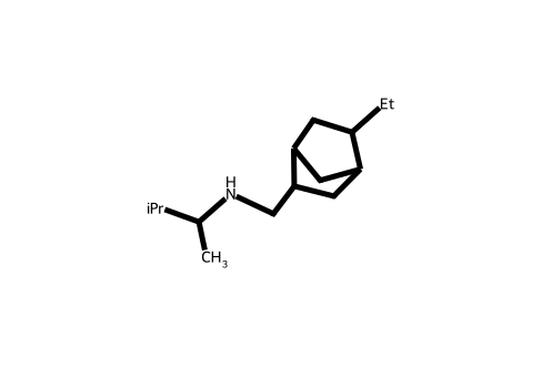 CCC1CC2CC1CC2CNC(C)C(C)C